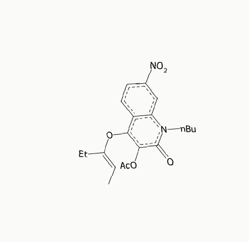 CC=C(CC)Oc1c(OC(C)=O)c(=O)n(CCCC)c2cc([N+](=O)[O-])ccc12